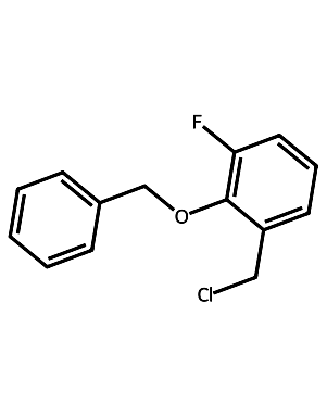 Fc1cccc(CCl)c1OCc1ccccc1